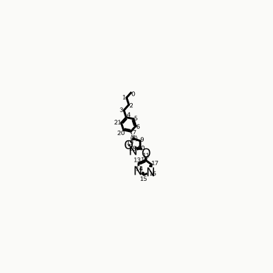 CCCCc1ccc([C@@H]2CC(Oc3cncnc3)=NO2)cc1